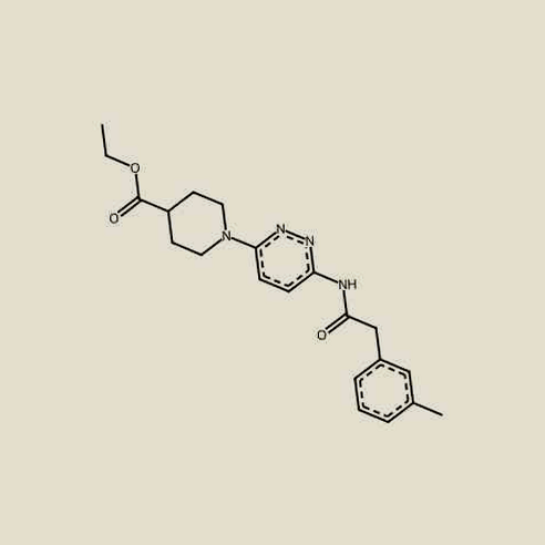 CCOC(=O)C1CCN(c2ccc(NC(=O)Cc3cccc(C)c3)nn2)CC1